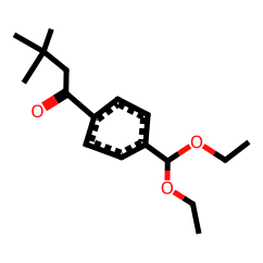 CCOC(OCC)c1ccc(C(=O)CC(C)(C)C)cc1